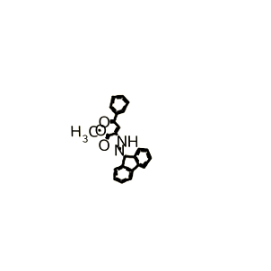 COC(=O)C(=CC(=O)c1ccccc1)NN=C1c2ccccc2-c2ccccc21